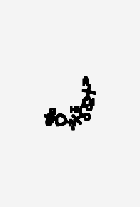 C=NCC(C)(C)c1cc(NC(=O)C(C)(C)N(C)C2CCN(S(C)(=O)=O)CC2)on1